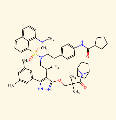 Cc1cc(C)cc(-c2[nH]nc(OCC(C)(C)C(=O)N3C4CCC3CC4)c2[C@H](C)CN(CCc2ccc(NC(=O)C3CCCC3)cc2)S(=O)(=O)c2cccc3cccc(N(C)C)c23)c1